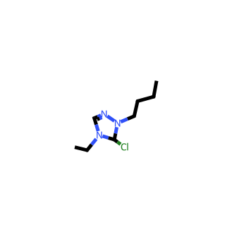 CCCCN1N=CN(CC)C1Cl